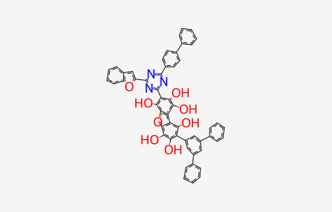 Oc1c(-c2cc(-c3ccccc3)cc(-c3ccccc3)c2)c(O)c2c(oc3c(O)c(-c4nc(-c5ccc(-c6ccccc6)cc5)nc(-c5cc6ccccc6o5)n4)c(O)c(O)c32)c1O